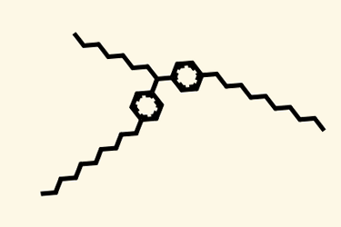 CCCCCCCCCCc1ccc(C(CCCCCCC)c2ccc(CCCCCCCCCC)cc2)cc1